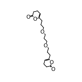 O=C1CCC=C(CCCOCCCOCCCC2=CCCC(=O)O2)O1